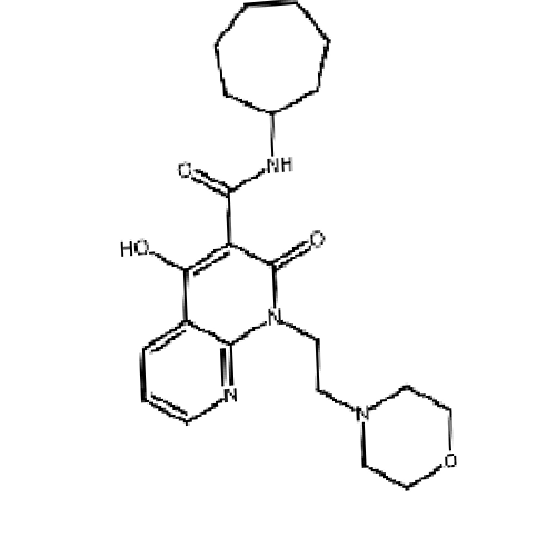 O=C(NC1CCCCCC1)c1c(O)c2cccnc2n(CCN2CCOCC2)c1=O